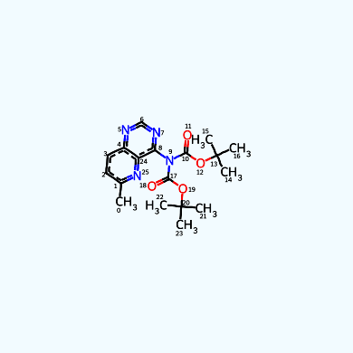 Cc1ccc2ncnc(N(C(=O)OC(C)(C)C)C(=O)OC(C)(C)C)c2n1